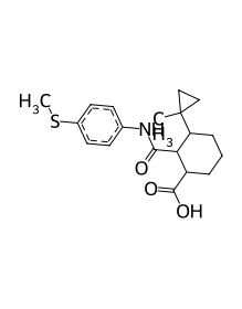 CSc1ccc(NC(=O)C2C(C(=O)O)CCCC2C2(C)CC2)cc1